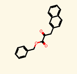 O=C(Cc1ccc2ccccc2c1)C(=O)OCc1ccccc1